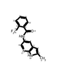 Cc1cc2cc(NC(=O)c3ccccc3C(F)(F)F)cnc2[nH]1